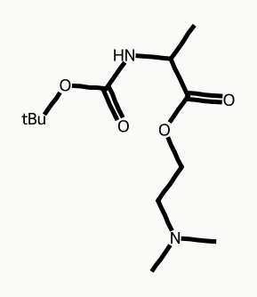 CC(NC(=O)OC(C)(C)C)C(=O)OCCN(C)C